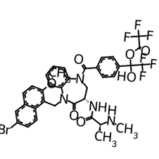 CN[C@@H](C)C(=O)N[C@H]1CN(C(=O)c2ccc(C(O)(OC(=O)C(F)(F)F)C(F)(F)F)cc2)c2ccccc2N(Cc2c(OC)ccc3cc(Br)ccc23)C1=O